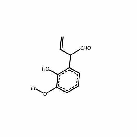 C=CC(C=O)c1cccc(OCC)c1O